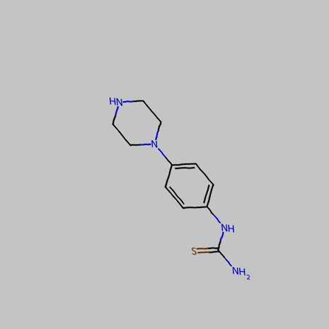 NC(=S)Nc1ccc(N2CCNCC2)cc1